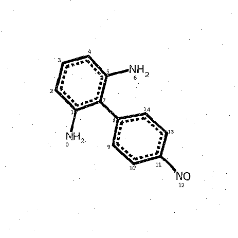 Nc1cccc(N)c1-c1ccc(N=O)cc1